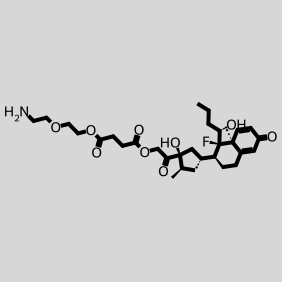 CCC[C@H](O)[C@@]1(F)[C@H]([C@@H]2C[C@@H](C)[C@](O)(C(=O)COC(=O)CCC(=O)OCCOCCN)C2)CCC2=CC(=O)C=C[C@@]21C